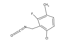 Cc1ccc(Cl)c(CN=C=O)c1F